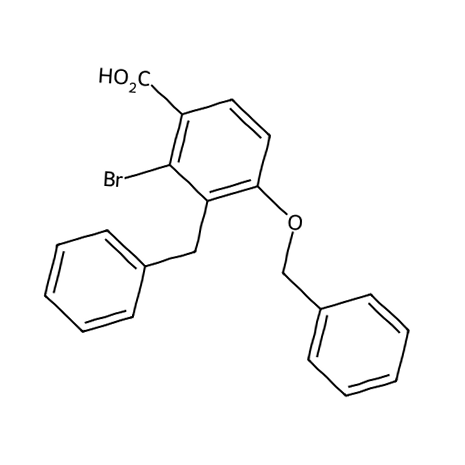 O=C(O)c1ccc(OCc2ccccc2)c(Cc2ccccc2)c1Br